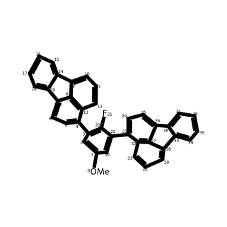 COc1cc(-c2ccc3c4c(cccc24)-c2ccccc2-3)c(F)c(-c2ccc3c4c(cccc24)-c2ccccc2-3)c1